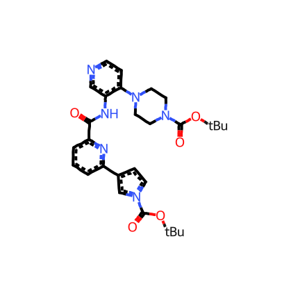 CC(C)(C)OC(=O)N1CCN(c2ccncc2NC(=O)c2cccc(-c3ccn(C(=O)OC(C)(C)C)c3)n2)CC1